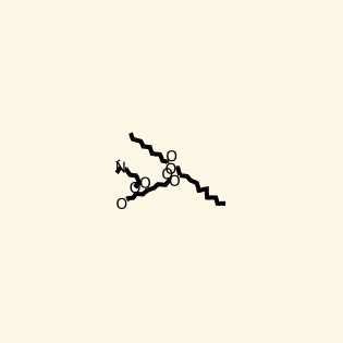 CCCCCCCCCC(COC(=O)CCCCCCCC)OC(=O)CCCC(CCCC=O)OC(=O)CCCN(C)C